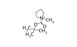 CC(C)(C)OC(=O)[N+]1(C)CCCC1